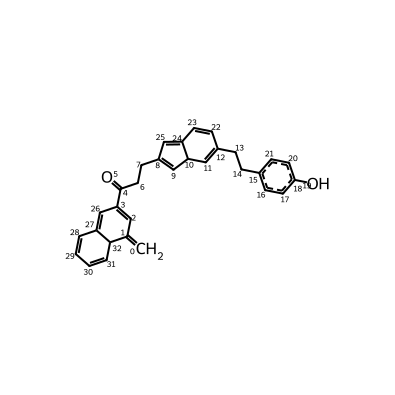 C=C1C=C(C(=O)CCC2=CC3C=C(CCc4ccc(O)cc4)C=CC3=C2)C=C2C=CC=CC12